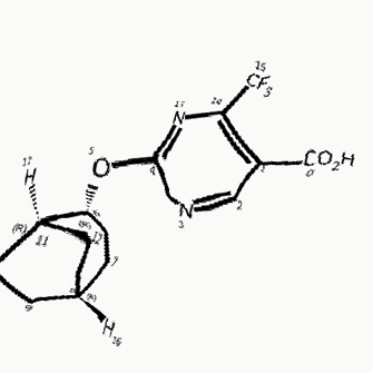 O=C(O)c1cnc(O[C@@H]2C[C@@H]3CC[C@@H]2C3)nc1C(F)(F)F